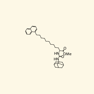 COC(=O)C(CCCCCCCCCCc1cccc2ccccc12)NC(=O)NC12CC3CC(CC(C3)C1)C2